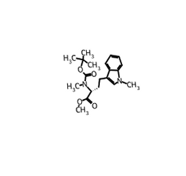 COC(=O)[C@@H](CCc1cn(C)c2ccccc12)N(C)C(=O)OC(C)(C)C